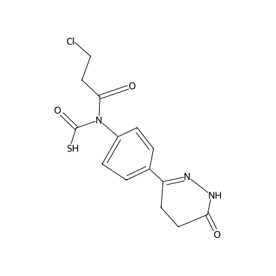 O=C1CCC(c2ccc(N(C(=O)S)C(=O)CCCl)cc2)=NN1